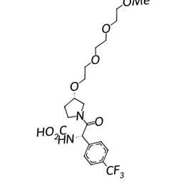 COCCOCCOCCO[C@H]1CCN(C(=O)[C@@H](NC(=O)O)c2ccc(C(F)(F)F)cc2)C1